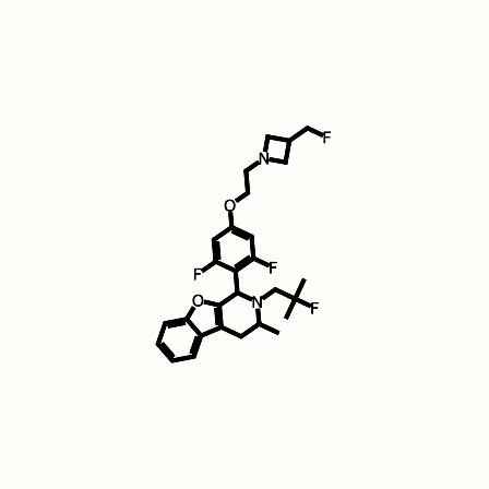 CC1Cc2c(oc3ccccc23)C(c2c(F)cc(OCCN3CC(CF)C3)cc2F)N1CC(C)(C)F